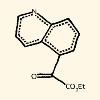 CCOC(=O)C(=O)c1cccc2ncccc12